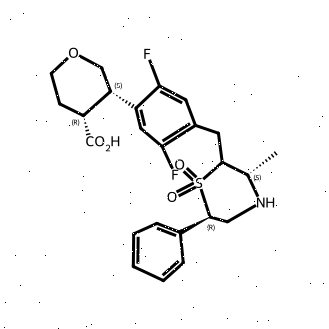 C[C@@H]1NC[C@@H](c2ccccc2)S(=O)(=O)C1Cc1cc(F)c([C@H]2COCC[C@H]2C(=O)O)cc1F